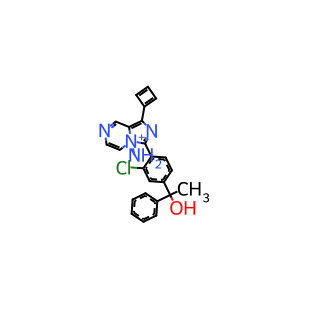 CC(O)(c1ccccc1)c1ccc(C2=NC(C3=CC=C3)=C3C=NC=C[N+]23N)c(Cl)c1